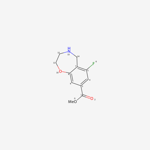 COC(=O)c1cc(F)c2c(c1)OCCNC2